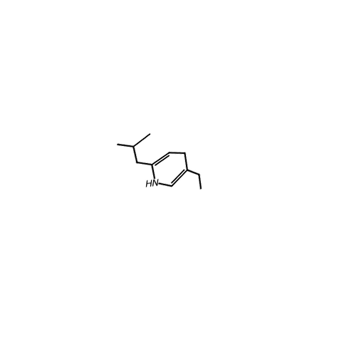 CCC1=CNC(CC(C)C)=CC1